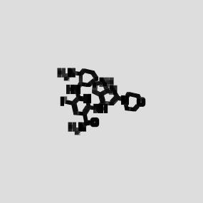 NC(=O)c1cc(F)c(NC2CCCCC2N)nc1Nc1cc(N2CCOCC2)nc2[nH]ccc12